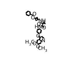 COc1cc2nccc(Oc3ccc(NC(=O)C4(C(=O)NC56CC(OC(=O)c7ccccc7)(C5)C6)CC4)cc3)c2cc1OC